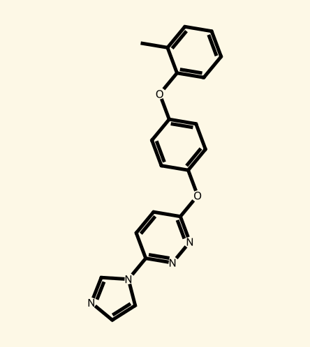 Cc1ccccc1Oc1ccc(Oc2ccc(-n3ccnc3)nn2)cc1